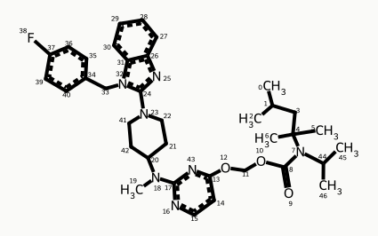 CC(C)CC(C)(C)N(C(=O)OCOc1ccnc(N(C)C2CCN(c3nc4ccccc4n3Cc3ccc(F)cc3)CC2)n1)C(C)C